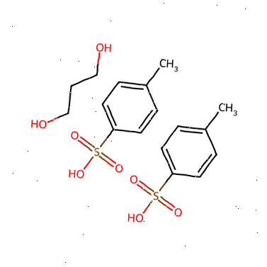 Cc1ccc(S(=O)(=O)O)cc1.Cc1ccc(S(=O)(=O)O)cc1.OCCCO